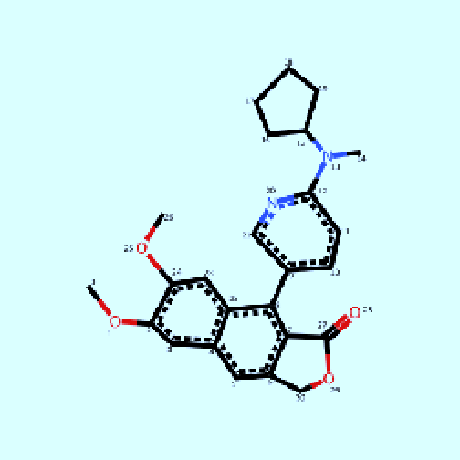 COc1cc2cc3c(c(-c4ccc(N(C)C5CCCC5)nc4)c2cc1OC)C(=O)OC3